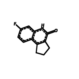 O=c1[nH]c2cc(F)ccc2c2c1CCC2